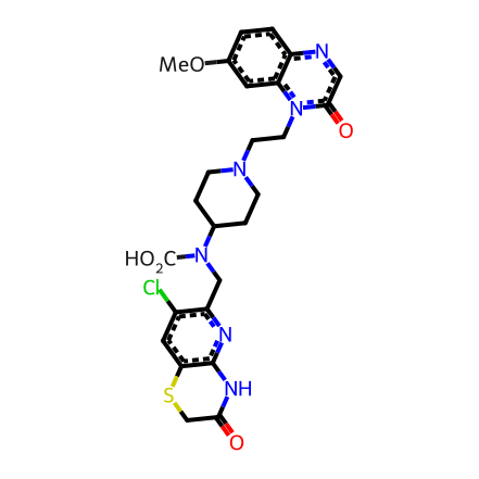 COc1ccc2ncc(=O)n(CCN3CCC(N(Cc4nc5c(cc4Cl)SCC(=O)N5)C(=O)O)CC3)c2c1